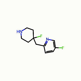 Fc1ccc(CC2(F)CCNCC2)nc1